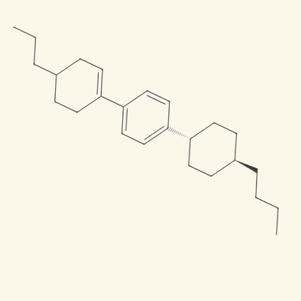 CCCC[C@H]1CC[C@H](c2ccc(C3=CCC(CCC)CC3)cc2)CC1